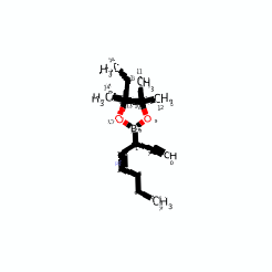 C#CC(/C=C\CCC)B1OC(C)(C)C(C)(CC)O1